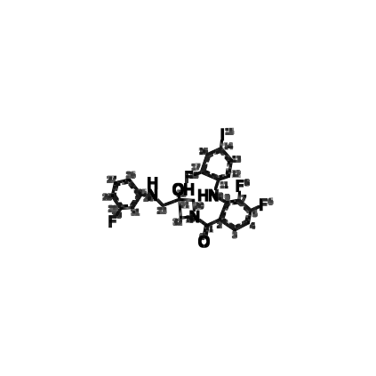 O=C(c1ccc(F)c(F)c1Nc1ccc(I)cc1F)N1CC(O)(CNc2cccc(F)c2)C1